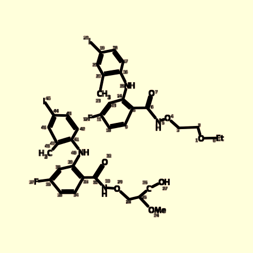 CCOCCONC(=O)c1ccc(F)cc1Nc1ccc(I)cc1C.COC(CO)CONC(=O)c1ccc(F)cc1Nc1ccc(I)cc1C